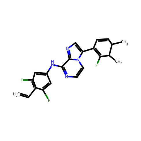 C=Cc1c(F)cc(Nc2nccn3c(C4=C(F)C(C)C(C)C=C4)cnc23)cc1F